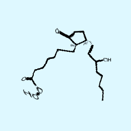 CCCCCC(O)C=C[C@H]1CCC(=O)[C@@H]1CCCCCCC(=O)OO